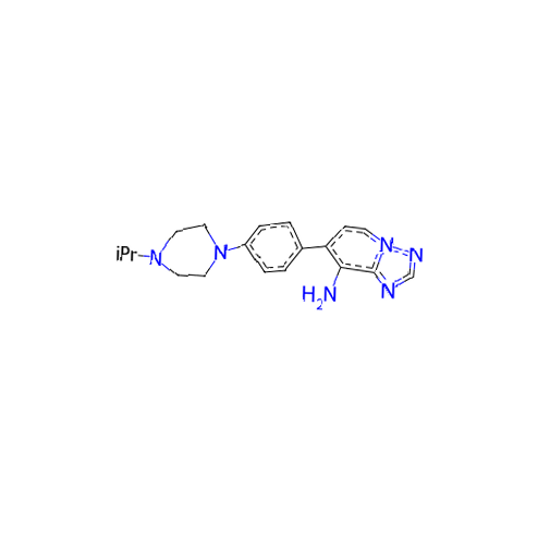 CC(C)N1CCN(c2ccc(-c3ccn4ncnc4c3N)cc2)CC1